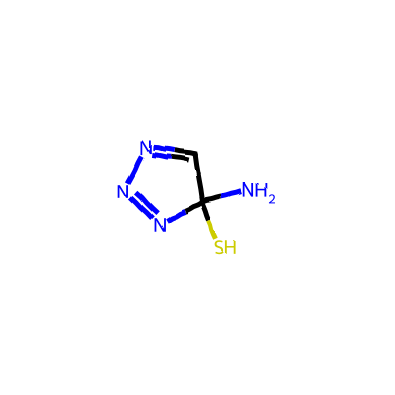 NC1(S)C=NN=N1